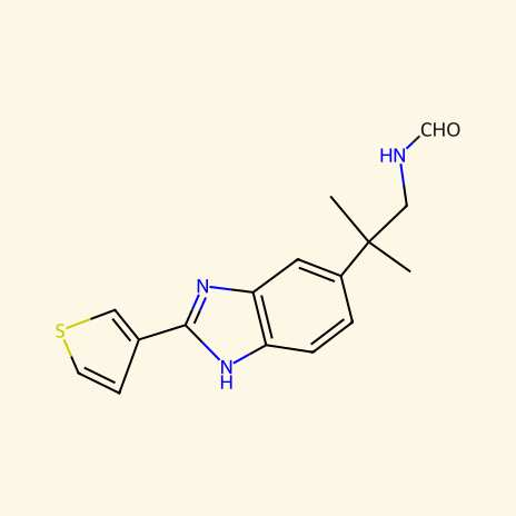 CC(C)(CNC=O)c1ccc2[nH]c(-c3ccsc3)nc2c1